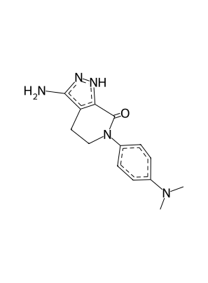 CN(C)c1ccc(N2CCc3c(N)n[nH]c3C2=O)cc1